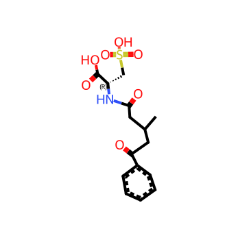 CC(CC(=O)N[C@@H](CS(=O)(=O)O)C(=O)O)CC(=O)c1ccccc1